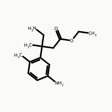 CCOC(=O)CC(C)(CN)c1cc(N)ccc1C